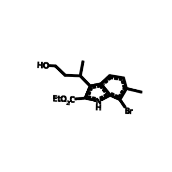 CCOC(=O)c1[nH]c2c(Br)c(C)ccc2c1C(C)CCO